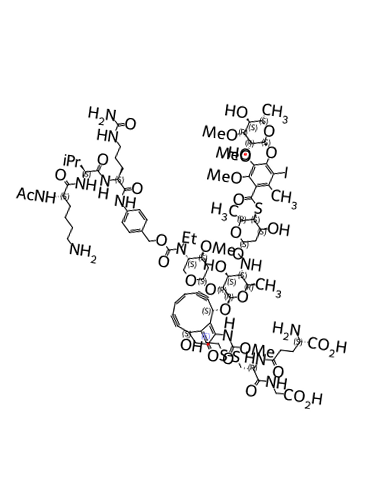 CCN(C(=O)OCc1ccc(NC(=O)[C@H](CCCNC(N)=O)NC(=O)[C@@H](NC(=O)[C@H](CCCCN)NC(C)=O)C(C)C)cc1)[C@H]1CO[C@@H](O[C@H]2[C@H](O[C@H]3C#CC=CC#C[C@]4(O)CC(=O)C(NC(=O)OC)=C3/C4=C\CSSC[C@H](NC(=O)CC[C@H](N)C(=O)O)C(=O)NCC(=O)O)O[C@H](C)[C@@H](NO[C@H]3C[C@H](O)[C@H](SC(=O)c4c(C)c(I)c(O[C@@H]5O[C@@H](C)[C@H](O)[C@@H](OC)[C@H]5O)c(OC)c4OC)[C@@H](C)O3)[C@@H]2O)C[C@@H]1OC